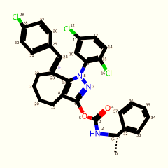 C[C@H](NC(=O)Oc1nn(-c2cc(Cl)ccc2Cl)c2c1CCCC/C2=C\c1ccc(Cl)cc1)c1ccccc1